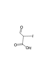 O=CC(I)C(=O)O